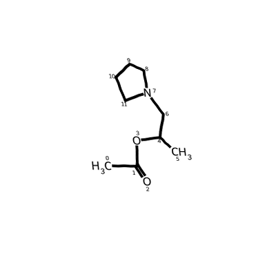 CC(=O)OC(C)CN1CCCC1